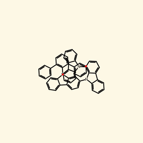 c1ccc(-c2cccc(-c3ccccc3)c2-n2c3ccccc3c3ccc(-n4c5ccccc5c5cccc(-n6c7ccccc7c7ccccc76)c54)cc32)cc1